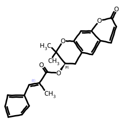 C/C(=C\c1ccccc1)C(=O)O[C@@H]1Cc2cc3ccc(=O)oc3cc2OC1(C)C